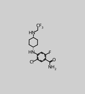 NC(=O)c1cc(Cl)c(N[C@H]2CC[C@H](NCC(F)(F)F)CC2)cc1F